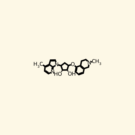 Cc1ccnc2c1ccn2C1CC(Oc2cccc3c2CCN(C)C3)[C@@H](O)[C@H]1O